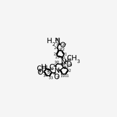 COc1ccc(C(=O)N2c3ccccc3[C@H](N(C(C)=O)c3ccc(CC(N)=O)cc3)C[C@@H]2C)cc1